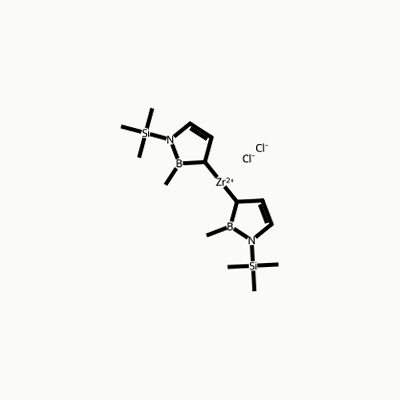 CB1[CH]([Zr+2][CH]2C=CN([Si](C)(C)C)B2C)C=CN1[Si](C)(C)C.[Cl-].[Cl-]